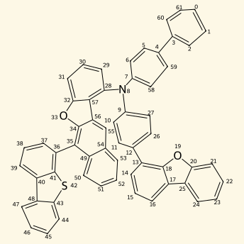 c1ccc(-c2ccc(N(c3ccc(-c4cccc5c4oc4ccccc45)cc3)c3cccc4oc5c(-c6cccc7c6sc6ccccc67)c6ccccc6cc5c34)cc2)cc1